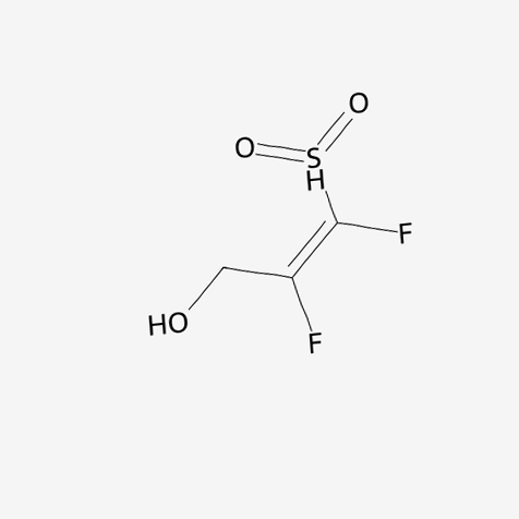 O=[SH](=O)/C(F)=C(/F)CO